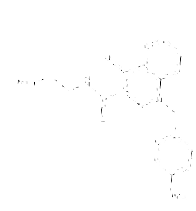 COCCNC(=O)c1nn(Cc2ccc(OC)cc2)c2ccccc2c1=O